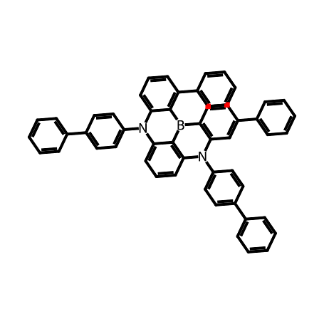 c1ccc(-c2ccc(N3c4cc(-c5ccccc5)ccc4B4c5c(-c6ccccc6)cccc5N(c5ccc(-c6ccccc6)cc5)c5cccc3c54)cc2)cc1